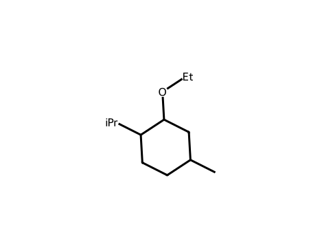 CCOC1CC(C)CCC1C(C)C